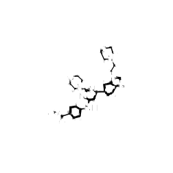 COC(=O)c1ccc(Nc2cc(-c3ccc4ncn(CCN5CCOCC5)c4c3)nc(N3CCOCC3)n2)cc1